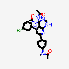 CC(=O)NC1(NC(C)=O)N=CNc2nc(-c3ccc(N(C)C(C)=O)cc3)cc(-c3cccc(Br)c3)c21